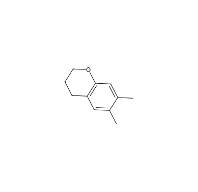 Cc1cc2c(cc1C)OCCC2